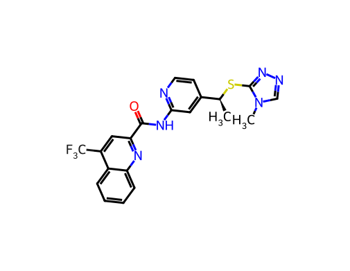 C[C@H](Sc1nncn1C)c1ccnc(NC(=O)c2cc(C(F)(F)F)c3ccccc3n2)c1